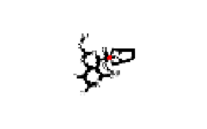 CCSc1nc(N2CC3CCC(C2)N3C(=O)OC(C)(C)C)c2c(O)nc(Cl)c(F)c2n1